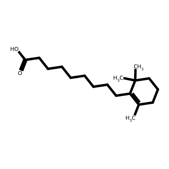 CC1=C(CCCCCCCCC(=O)O)C(C)(C)CCC1